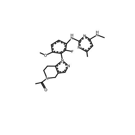 CNc1cc(C)nc(Nc2ccc(OC)c(-n3ncc4c3CCN(C(C)=O)C4)c2F)n1